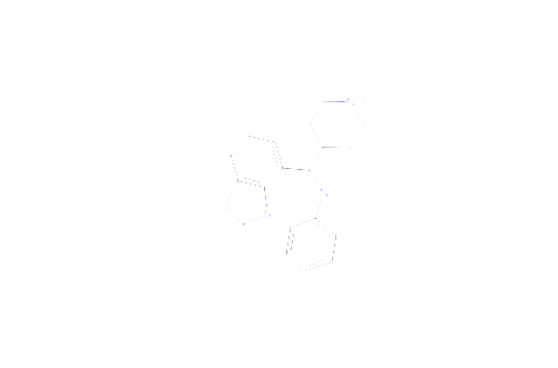 Cl.c1ccc2c(c1)NC(C1CCNCC1)c1cccc3c1N2CC3